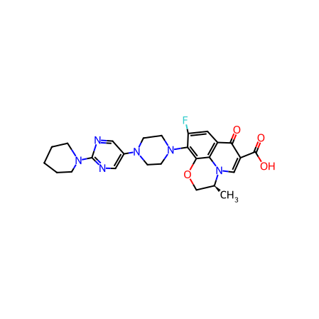 C[C@H]1COc2c(N3CCN(c4cnc(N5CCCCC5)nc4)CC3)c(F)cc3c(=O)c(C(=O)O)cn1c23